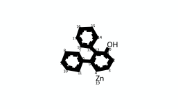 Oc1cccc(-c2ccccc2)c1-c1ccccc1.[Zn]